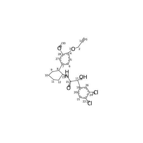 C#CCOc1ccc(C2CCCCC2NC(=O)C(O)c2ccc(Cl)c(Cl)c2)cc1OC